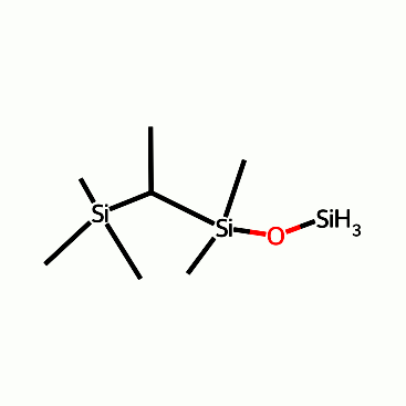 CC([Si](C)(C)C)[Si](C)(C)O[SiH3]